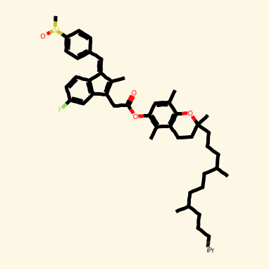 CC1=C(CC(=O)Oc2cc(C)c3c(c2C)CCC(C)(CCCC(C)CCCC(C)CCCC(C)C)O3)c2cc(F)ccc2/C1=C\c1ccc([S+](C)[O-])cc1